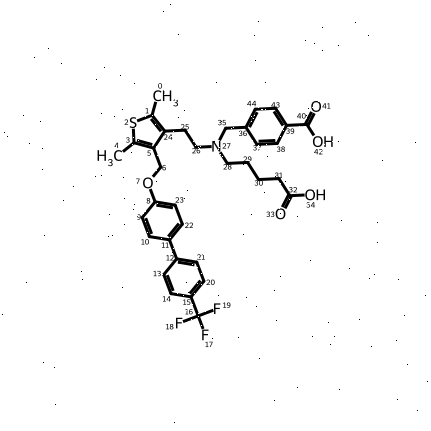 Cc1sc(C)c(COc2ccc(-c3ccc(C(F)(F)F)cc3)cc2)c1CCN(CCCCC(=O)O)Cc1ccc(C(=O)O)cc1